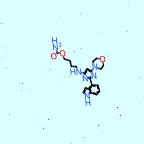 NC(=O)OCCCCNc1cc(N2CCOCC2)nc(-c2cccc3[nH]ccc23)n1